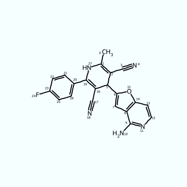 CC1=C(C#N)C(c2cc3c(N)nccc3o2)C(C#N)=C(c2ccc(F)cc2)N1